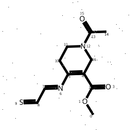 COC(=O)C1=C(N=CC=S)CCN(C(C)=O)C1